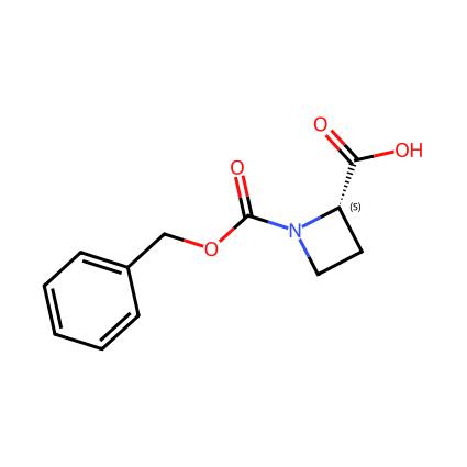 O=C(O)[C@@H]1CCN1C(=O)OCc1ccccc1